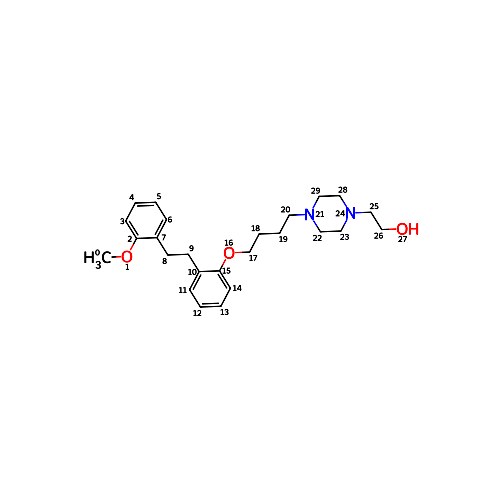 COc1ccccc1CCc1ccccc1OCCCCN1CCN(CCO)CC1